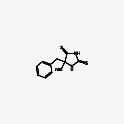 CCCCC1(Cc2ccccc2)NC(=S)NC1=S